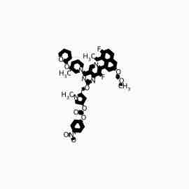 CCc1c(F)ccc2cc(OCOC)cc(-c3ncc4c(N5CCC[C@](C)(OC6CCCCO6)C5)nc(OC[C@@H]5C[C@@H](OC(=O)Oc6ccc([N+](=O)[O-])cc6)CN5C)nc4c3F)c12